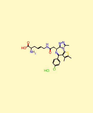 Cc1sc2c(c1C)C(c1ccc(Cl)cc1)=N[C@@H](CC(=O)NC/C=C/CC(N)C(=O)O)c1nnc(C)n1-2.Cl